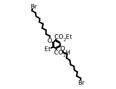 CCOC(=O)c1cc(OCCCCCCCCCCBr)c(C(=O)O)c(CC)c1OCCCCCCCCCCBr